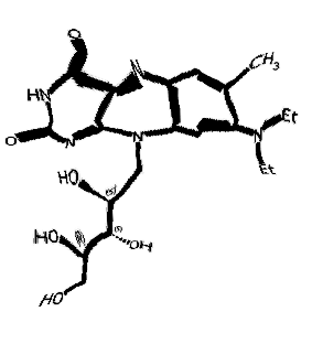 CCN(CC)c1cc2c(cc1C)nc1c(=O)[nH]c(=O)nc-1n2C[C@H](O)[C@H](O)[C@H](O)CO